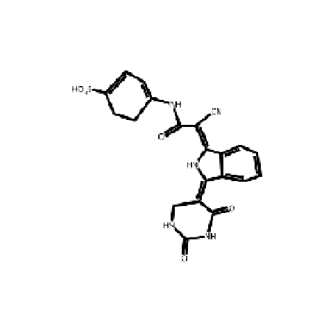 N#C/C(C(=O)NC1=CC=C(S(=O)(=O)O)CC1)=c1/[nH]/c(=C2\CNC(=O)NC2=O)c2ccccc12